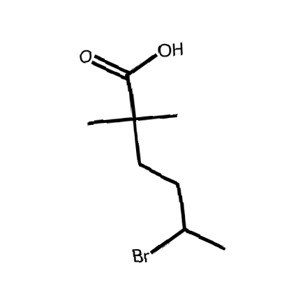 CC(Br)CCC(C)(C)C(=O)O